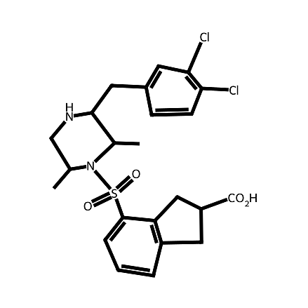 CC1CNC(Cc2ccc(Cl)c(Cl)c2)C(C)N1S(=O)(=O)c1cccc2c1CC(C(=O)O)C2